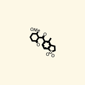 COC1CCCC(=O)C1C(=O)c1ccc2c(c1C)CCS2(=O)=O